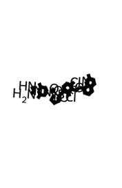 Cc1ccc2cccc(OCc3c(Cl)ccc(S(=O)(=O)N4CCC[C@H]4C(=O)N4CC(C)N(C(=N)N)C(C)C4)c3Cl)c2n1